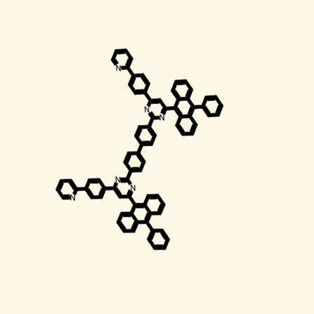 c1ccc(-c2c3ccccc3c(-c3cc(-c4ccc(-c5ccccn5)cc4)nc(-c4ccc(-c5ccc(-c6nc(-c7ccc(-c8ccccn8)cc7)cc(-c7c8ccccc8c(-c8ccccc8)c8ccccc78)n6)cc5)cc4)n3)c3ccccc23)cc1